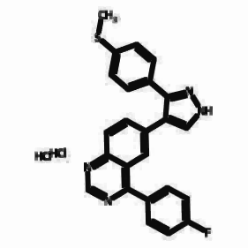 CSc1ccc(-c2n[nH]cc2-c2ccc3ncnc(-c4ccc(F)cc4)c3c2)cc1.Cl.Cl